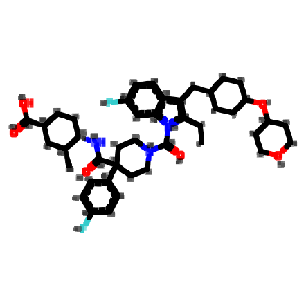 CCc1c(CC2CCC(OC3CCOCC3)CC2)c2ccc(F)cc2n1C(=O)N1CCC(C(=O)N[C@H]2CC[C@H](C(=O)O)C[C@@H]2C)(c2ccc(F)cc2)CC1